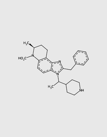 CC(C1CCNCC1)n1c(Cc2ccccc2)nc2c3c(ccc21)N(C(=O)O)[C@@H](C)CC3